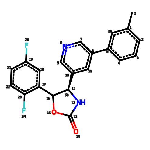 Cc1cccc(-c2cncc([C@H]3NC(=O)OC3c3cc(F)ccc3F)c2)c1